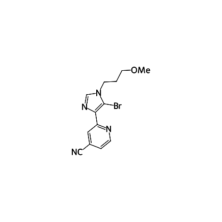 COCCCn1cnc(-c2cc(C#N)ccn2)c1Br